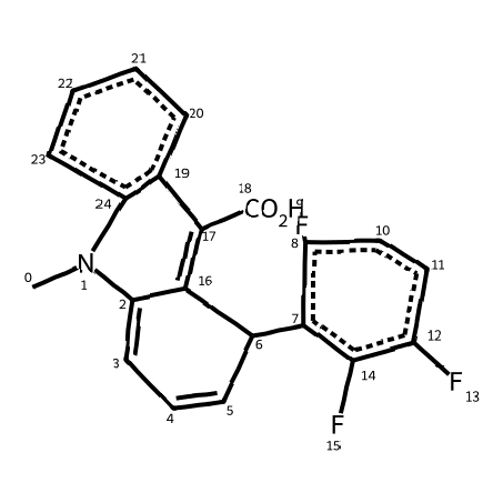 CN1C2=CC=CC(c3c(F)ccc(F)c3F)C2=C(C(=O)O)c2ccccc21